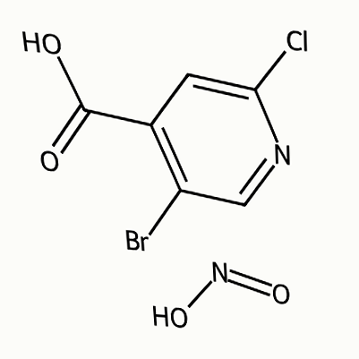 O=C(O)c1cc(Cl)ncc1Br.O=NO